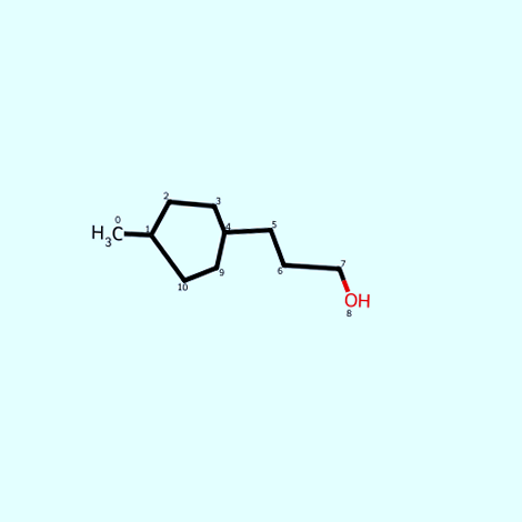 CC1CCC(CCCO)CC1